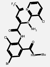 C=C(/C=C(/C(=O)Nc1c(Cl)cc(Br)cc1C(=O)NC(C)(C)C)N(N)c1ncccc1Cl)C(F)(F)F